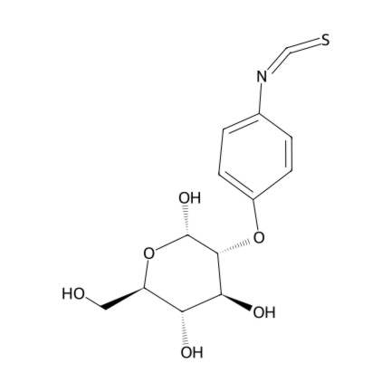 OC[C@H]1O[C@H](O)[C@H](Oc2ccc(N=C=S)cc2)[C@@H](O)[C@@H]1O